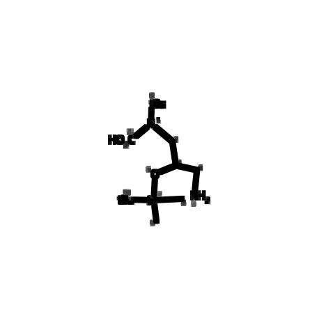 CC(C)(C)N(CC(CN)O[Si](C)(C)C(C)(C)C)C(=O)O